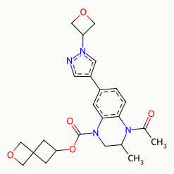 CC(=O)N1c2ccc(-c3cnn(C4COC4)c3)cc2N(C(=O)OC2CC3(COC3)C2)CC1C